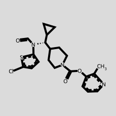 Cc1ncccc1OC(=O)N1CCC([C@@H](C2CC2)N(C=O)c2ccc(Cl)s2)CC1